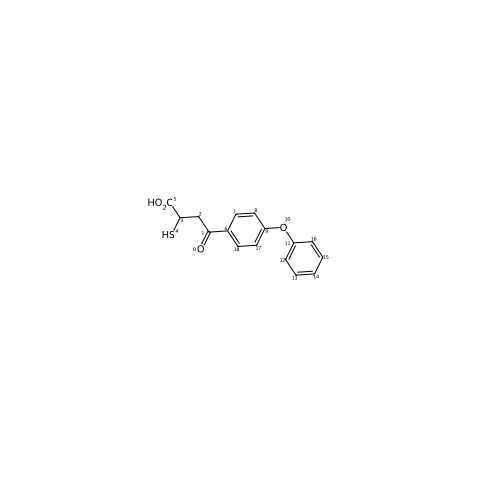 O=C(CC(S)C(=O)O)c1ccc(Oc2ccccc2)cc1